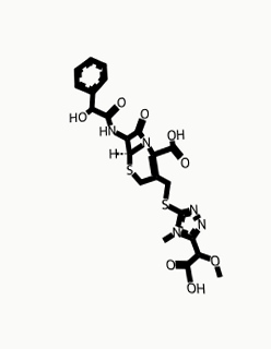 COC(C(=O)O)c1nnc(SCC2=C(C(=O)O)N3C(=O)C(NC(=O)C(O)c4ccccc4)[C@@H]3SC2)n1C